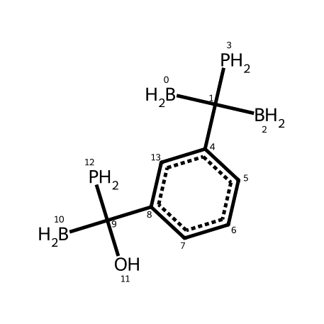 BC(B)(P)c1cccc(C(B)(O)P)c1